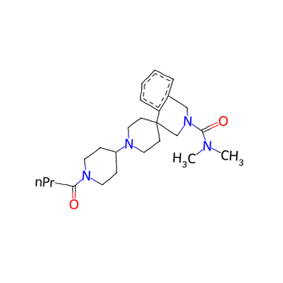 CCCC(=O)N1CCC(N2CCC3(CC2)CN(C(=O)N(C)C)Cc2ccccc23)CC1